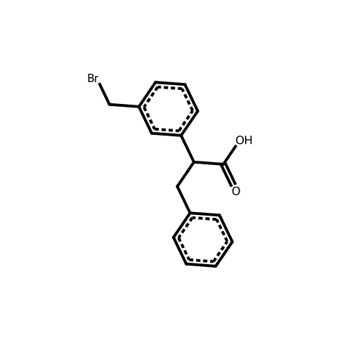 O=C(O)C(Cc1ccccc1)c1cccc(CBr)c1